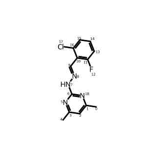 Cc1cc(C)nc(NN=Cc2c(F)cccc2Cl)n1